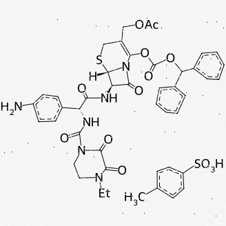 CCN1CCN(C(=O)N[C@@H](C(=O)N[C@@H]2C(=O)N3C(OC(=O)OC(c4ccccc4)c4ccccc4)=C(COC(C)=O)CS[C@@H]23)c2ccc(N)cc2)C(=O)C1=O.Cc1ccc(S(=O)(=O)O)cc1